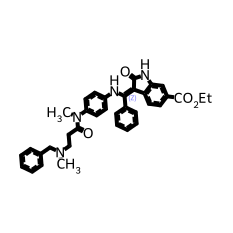 CCOC(=O)c1ccc2c(c1)NC(=O)/C2=C(\Nc1ccc(N(C)C(=O)CCN(C)Cc2ccccc2)cc1)c1ccccc1